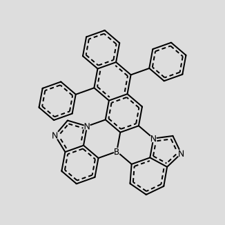 c1ccc(-c2c3ccccc3c(-c3ccccc3)c3c4c5c(cc23)-n2cnc3cccc(c32)B5c2cccc3ncn-4c23)cc1